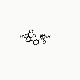 CCc1c[nH]c2ncc(-c3cccc(-n4nc[nH]c4=O)c3)c(Cl)c12